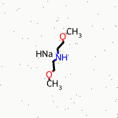 COCCNCCOC.[NaH]